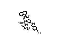 C[C@H](NCl)C(=O)N[C@H](C(=O)N1C[C@@H](NCc2ccc(CO)cc2)C[C@H]1C(=O)N[C@@H]1CCCc2ccccc21)C(C)(C)C